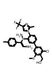 CSc1cc(-c2ccc(-n3cc(C(F)(F)F)nc3C)c(N(N)/C(=C\N)c3ccc(C)cc3)c2)cc(Cl)c1CO